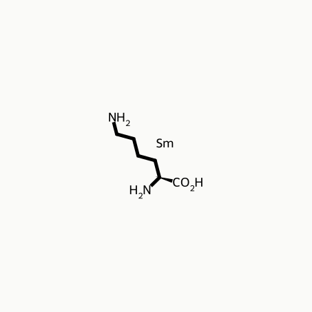 NCCCC[C@H](N)C(=O)O.[Sm]